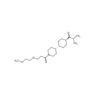 COCCOCCC(=O)N1CCC([C@H]2CC[C@H](C(=O)C(C)C)CC2)CC1